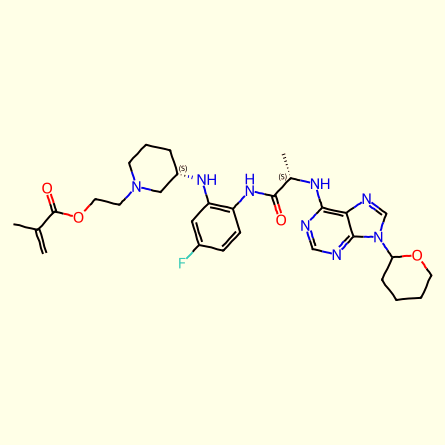 C=C(C)C(=O)OCCN1CCC[C@H](Nc2cc(F)ccc2NC(=O)[C@H](C)Nc2ncnc3c2ncn3C2CCCCO2)C1